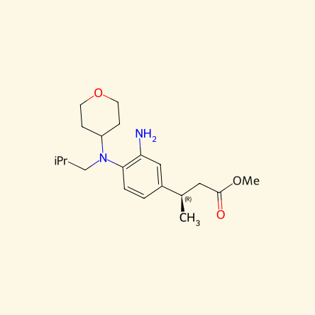 COC(=O)C[C@@H](C)c1ccc(N(CC(C)C)C2CCOCC2)c(N)c1